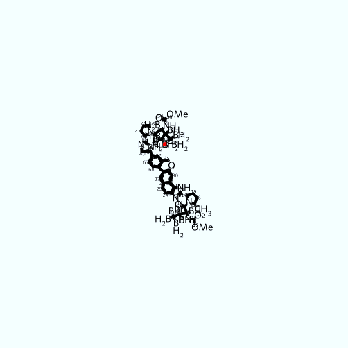 BC(B)(B)C(B)(B)[C@](B)(NC(=O)OC)C(=O)N1[C@@H](C)CC[C@H]1c1nc2ccc3cc4c(cc3c2[nH]1)OCc1cc(-c2cnc([C@@H]3CCCN3C(=O)[C@@](B)(NC(=O)OC)C(B)(C(B)(B)B)C(B)(B)B)[nH]2)ccc1-4